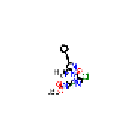 Cc1cc(C#Cc2ccccc2)cnc1NC(=O)c1c(Cl)cnn1CC1(F)CN(C(=O)OC(C)(C)C)C1